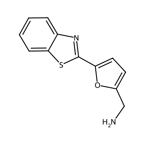 NCc1ccc(-c2nc3ccccc3s2)o1